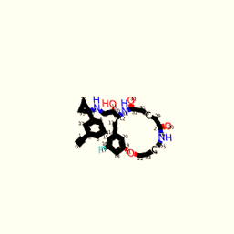 C#Cc1cccc(C2(NC[C@@H](O)[C@@H]3Cc4cc(F)cc(c4)OCCCCNC(=O)CCCC(=O)N3)CC2)c1